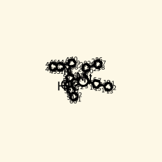 CC1CCC(c2ccc(-c3ccccc3)cc2)/N=C(c2cccc(-c3ccccc3)c2)\N=C/1c1cc(-n2c3ccccc3c3cc4ccccc4cc32)cc2oc3cc4ccccc4cc3c12